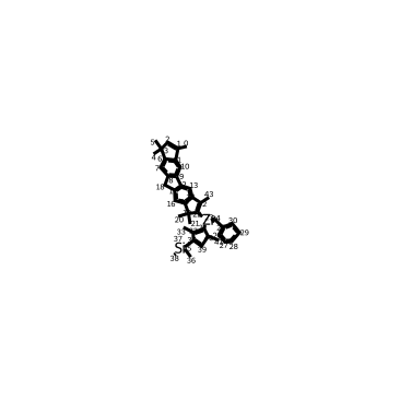 CC1=CC(C)(C)c2cc3c(cc21)-c1cc2c(cc1C3)C(C)(C)[C]([Zr](=[CH]c1ccccc1)[C]1=C(C)C([Si](C)(C)C)=CC1C)=C2C